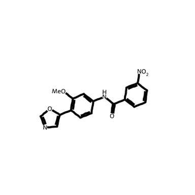 COc1cc(NC(=O)c2cccc([N+](=O)[O-])c2)ccc1-c1cnco1